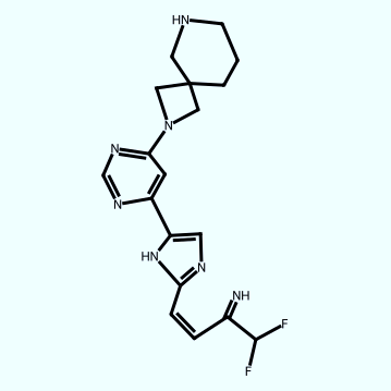 N=C(/C=C\c1ncc(-c2cc(N3CC4(CCCNC4)C3)ncn2)[nH]1)C(F)F